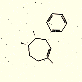 CC1=C[C@@H](c2ccccc2)[C@H](C)[C@H](O)CC1